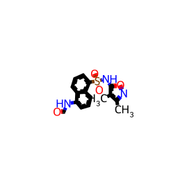 Cc1noc(NS(=O)(=O)c2cccc3c(NC=O)cccc23)c1C